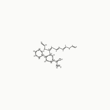 C=CC/C=C/C=C/C=C(/CC=C)c1cc(C(N)=O)ccc1-c1ccccc1